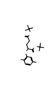 CC(C)(C)OC(=O)CCC(Nc1cc(Br)ccc1N)C(=O)OC(C)(C)C